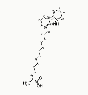 CC(=CCCCCCCCCCCCc1cccc2c1[nH]c1ccccc12)C(=O)O